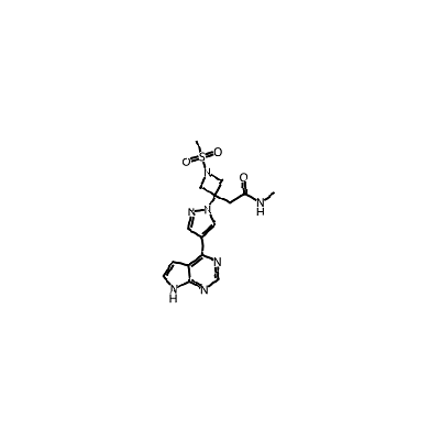 CNC(=O)CC1(n2cc(-c3ncnc4[nH]ccc34)cn2)CN(S(C)(=O)=O)C1